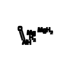 [MgH2].[MgH2].[O]=[AlH]